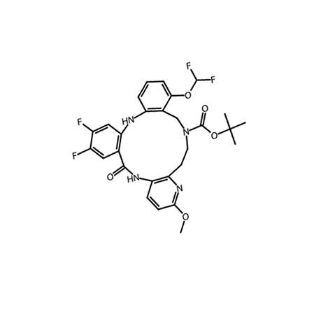 COc1ccc2c(n1)CCN(C(=O)OC(C)(C)C)Cc1c(cccc1OC(F)F)Nc1cc(F)c(F)cc1C(=O)N2